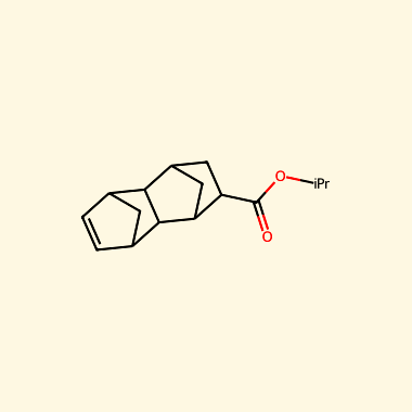 CC(C)OC(=O)C1CC2CC1C1C3C=CC(C3)C21